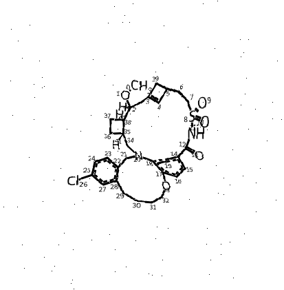 CO[C@H]1C2=CC(CCS(=O)(=O)NC(=O)c3ccc4c(c3)N(Cc3ccc(Cl)cc3CCCCO4)C[C@@H]3CC[C@H]31)C2